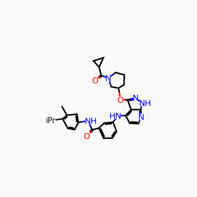 Cc1cc(NC(=O)c2cccc(Nc3ccnc4[nH]nc(OC5CCCN(C(=O)C6CC6)C5)c34)c2)ccc1C(C)C